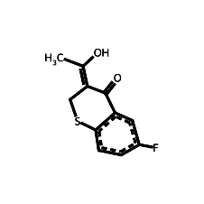 C/C(O)=C1\CSc2ccc(F)cc2C1=O